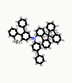 CCc1ccccc1-c1c(CC)cc(N(c2ccc(-c3ccccc3)cc2)c2cccc3c2-c2ccccc2C32c3ccccc3-c3ccccc32)cc1-c1ccccc1